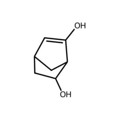 OC1=CC2CC(O)C1C2